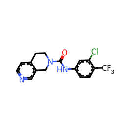 O=C(Nc1ccc(C(F)(F)F)c(Cl)c1)N1CCc2ccncc2C1